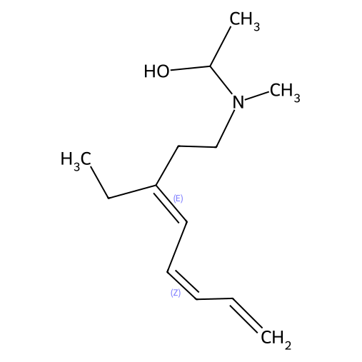 C=C/C=C\C=C(/CC)CCN(C)C(C)O